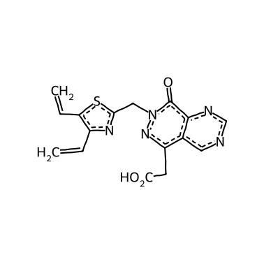 C=Cc1nc(Cn2nc(CC(=O)O)c3cncnc3c2=O)sc1C=C